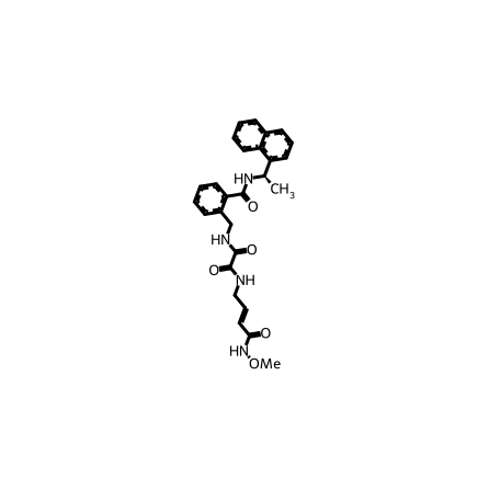 CONC(=O)/C=C/CNC(=O)C(=O)NCc1ccccc1C(=O)N[C@H](C)c1cccc2ccccc12